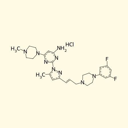 Cc1cc(/C=C/CN2CCN(c3cc(F)cc(F)c3)CC2)nn1-c1nc(N)cc(N2CCN(C)CC2)n1.Cl